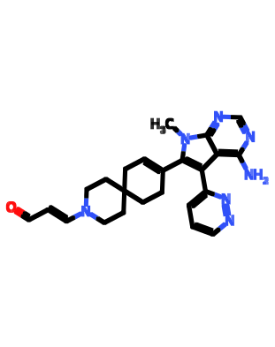 Cn1c(C2=CCC3(CC2)CCN(C=CC=O)CC3)c(-c2cccnn2)c2c(N)ncnc21